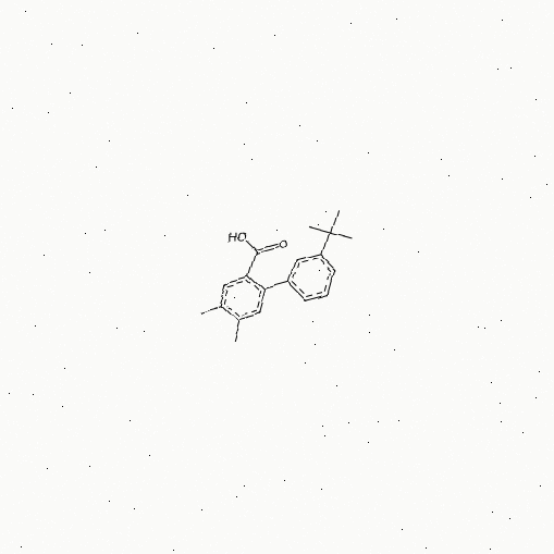 Cc1cc(C(=O)O)c(-c2cccc(C(C)(C)C)c2)cc1C